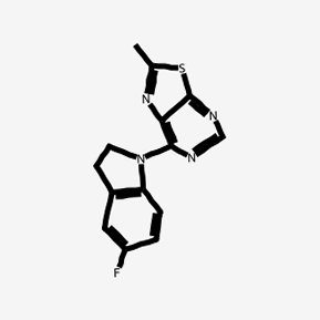 Cc1nc2c(N3CCc4cc(F)ccc43)ncnc2s1